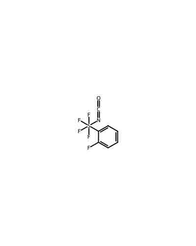 O=C=NS(F)(F)(F)(F)c1ccccc1F